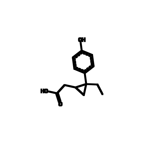 CCC1(c2ccc(O)cc2)CC1CC(=O)O